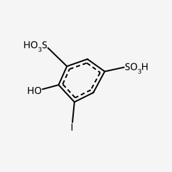 O=S(=O)(O)c1cc(I)c(O)c(S(=O)(=O)O)c1